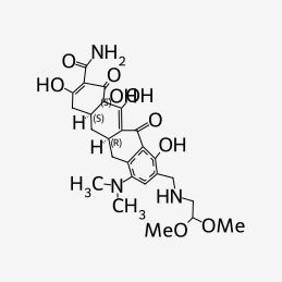 COC(CNCc1cc(N(C)C)c2c(c1O)C(=O)C1=C(O)[C@]3(O)C(=O)C(C(N)=O)=C(O)C[C@@H]3C[C@@H]1C2)OC